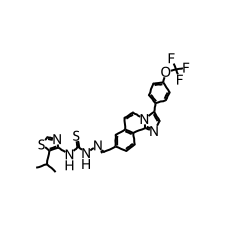 CC(C)c1scnc1NC(=S)NN=Cc1ccc2c(ccn3c(-c4ccc(OC(F)(F)F)cc4)cnc23)c1